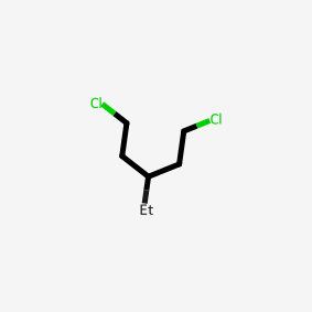 CCC(CCCl)CCCl